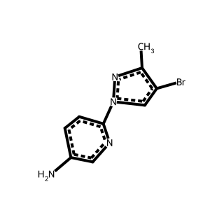 Cc1nn(-c2ccc(N)cn2)cc1Br